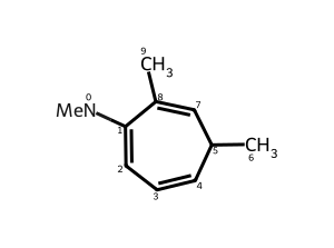 CNC1=CC=CC(C)C=C1C